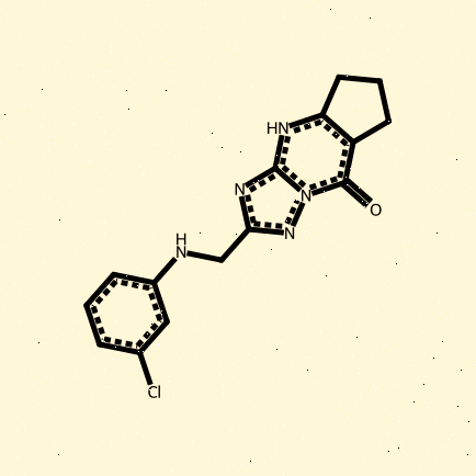 O=c1c2c([nH]c3nc(CNc4cccc(Cl)c4)nn13)CCC2